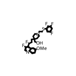 COc1ccc2ncc(F)c([C@@H](F)CCC3(CO)CCN(CCSc4cc(F)cc(F)c4F)CC3)c2c1